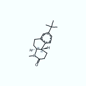 CN1C(=O)CC[C@H]2c3ccc(C(C)(C)C)cc3CC[C@@H]21